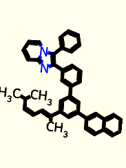 C/C(=C\C=C/C(C)C)c1cc(-c2cccc(-c3nc4ccccn4c3-c3ccccc3)c2)cc(-c2ccc3ccccc3c2)c1